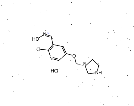 Cl.O/N=C\c1cc(OC[C@@H]2CCNC2)cnc1Cl